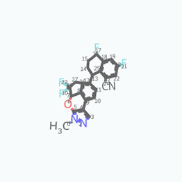 Cn1ncc2c1OC1c3c-2ccc(C2CCC(F)c4cc(F)cc(C#N)c42)c3CC1(F)F